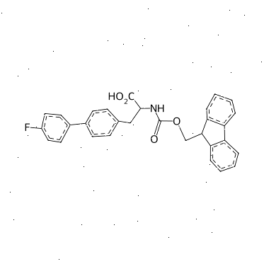 O=C(NC(Cc1ccc(-c2ccc(F)cc2)cc1)C(=O)O)OCC1c2ccccc2-c2ccccc21